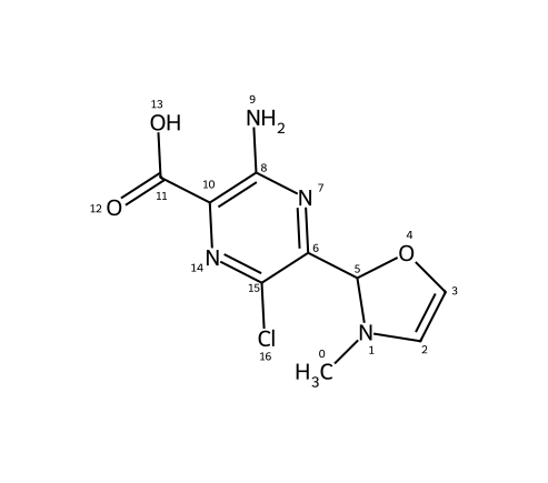 CN1C=COC1c1nc(N)c(C(=O)O)nc1Cl